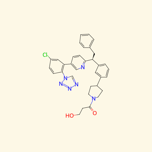 O=C(CCO)N1CCC(c2cccc([C@H](Cc3ccccc3)c3ccc(-c4cc(Cl)ccc4-n4cnnn4)cn3)c2)CC1